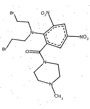 CN1CCN(C(=O)c2cc([N+](=O)[O-])cc([N+](=O)[O-])c2N(CCBr)CCBr)CC1